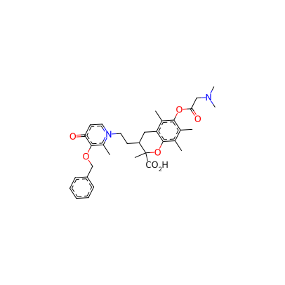 Cc1c(C)c2c(c(C)c1OC(=O)CN(C)C)CC(CCn1ccc(=O)c(OCc3ccccc3)c1C)C(C)(C(=O)O)O2